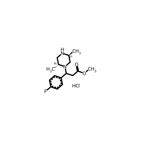 COC(=O)CC(c1ccc(F)cc1)N1C[C@H](C)NC[C@H]1C.Cl